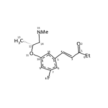 CCC(=O)/C=C/c1cc(F)cc(O[C@H](C)CNC)c1